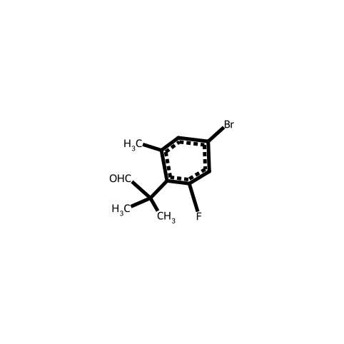 Cc1cc(Br)cc(F)c1C(C)(C)C=O